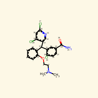 CN(C)CCOc1ccccc1C(c1cnc(Cl)cc1Cl)c1cc(C(N)=O)ccc1Cl